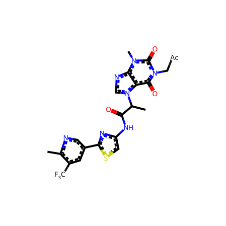 CC(=O)Cn1c(=O)c2c(ncn2C(C)C(=O)Nc2csc(-c3cnc(C)c(C(F)(F)F)c3)n2)n(C)c1=O